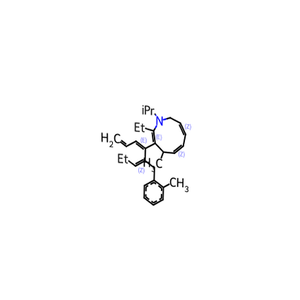 C=C/C=C(C(=C/CC)\Cc1ccccc1C)/C1=C(\CC)N(C(C)C)C/C=C\C=C/C1C